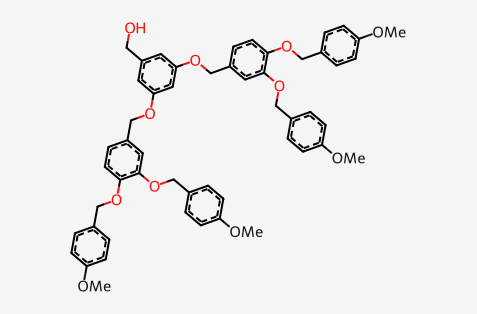 COc1ccc(COc2ccc(COc3cc(CO)cc(OCc4ccc(OCc5ccc(OC)cc5)c(OCc5ccc(OC)cc5)c4)c3)cc2OCc2ccc(OC)cc2)cc1